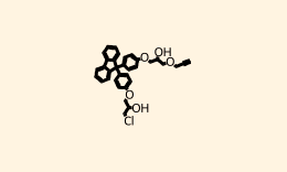 C#CCOCC(O)COc1ccc(C2(c3ccc(OCC(O)CCl)cc3)c3ccccc3-c3ccccc32)cc1